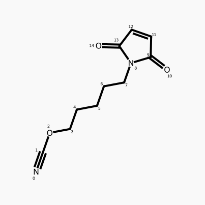 N#COCCCCCN1C(=O)C=CC1=O